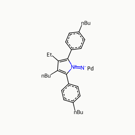 CCCCC1=C(c2ccc(CCCC)cc2)[N+](=[N-])C(c2ccc(CCCC)cc2)=C1CC.[Pd]